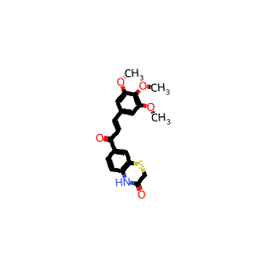 COc1cc(C=CC(=O)c2ccc3c(c2)SCC(=O)N3)cc(OC)c1OC